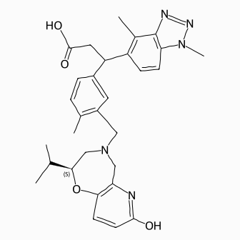 Cc1ccc(C(CC(=O)O)c2ccc3c(nnn3C)c2C)cc1CN1Cc2nc(O)ccc2O[C@@H](C(C)C)C1